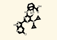 O=C(O)[C@H]1C2CCC(CC2)[C@@H]1Nc1nc(-c2n[nH]c3ncc(Cl)cc23)nc(N(C2CC2)C2CC2)c1F